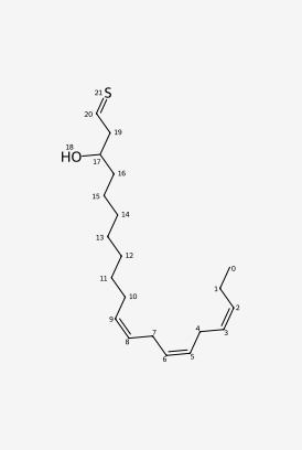 CC/C=C\C/C=C\C/C=C\CCCCCCCC(O)CC=S